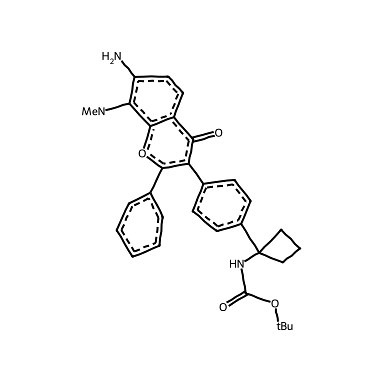 CNc1c(N)ccc2c(=O)c(-c3ccc(C4(NC(=O)OC(C)(C)C)CCC4)cc3)c(-c3ccccc3)oc12